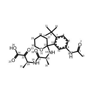 CC(=O)Nc1ccc(C(C)(C)C)c(C2(N[C@@H](C)C(=O)N[C@@H](C)C(=O)C(=O)O)CCCCO2)c1